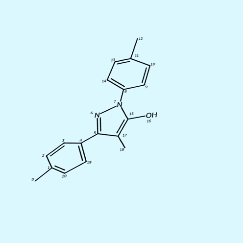 Cc1ccc(-c2nn(-c3ccc(C)cc3)c(O)c2C)cc1